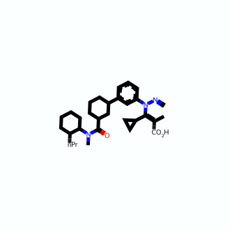 C=NN(/C(=C(\C)C(=O)O)C1CC1)c1cccc(C2CCCC(C(=O)N(C)C3CCCCC3CCC)C2)c1